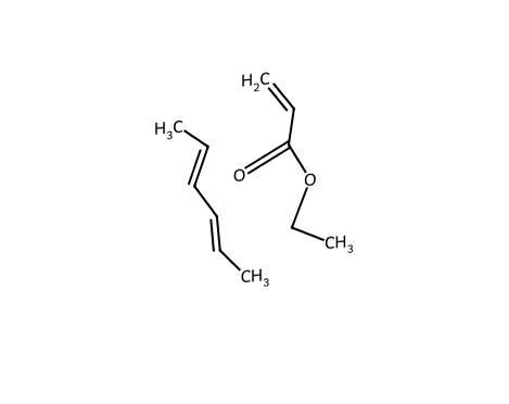 C/C=C/C=C/C.C=CC(=O)OCC